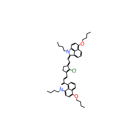 C=C(/C=C/C1=C(Cl)C(=C/C=c2\c3cccc4c(OCCCC)ccc(c43)n2CCCC)/CC1)c1cccc2c(OCCCC)ccc(N(C)CCCC)c12